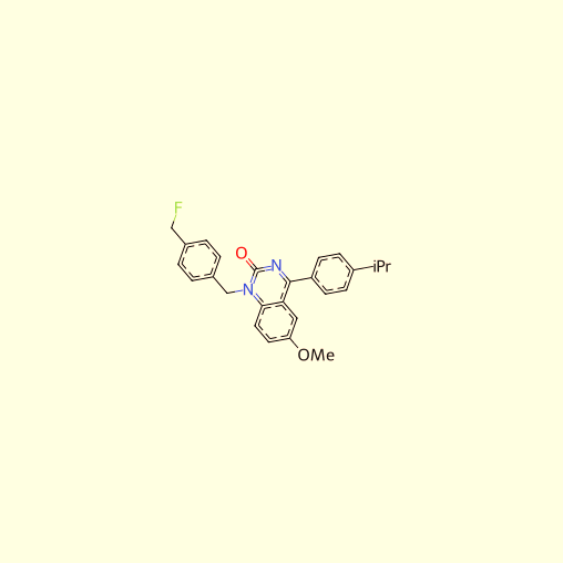 COc1ccc2c(c1)c(-c1ccc(C(C)C)cc1)nc(=O)n2Cc1ccc(CF)cc1